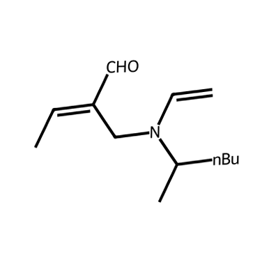 C=CN(C/C(C=O)=C\C)C(C)CCCC